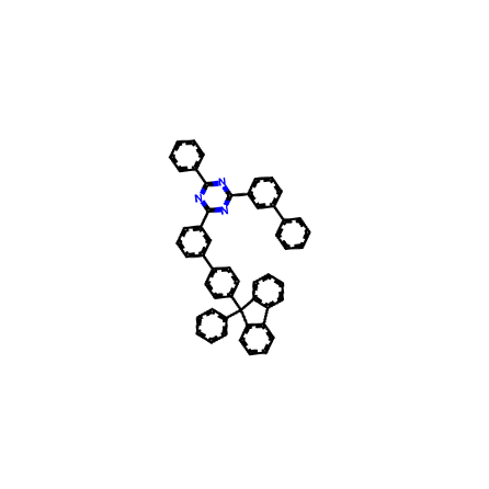 c1ccc(-c2cccc(-c3nc(-c4ccccc4)nc(-c4cccc(-c5ccc(C6(c7ccccc7)c7ccccc7-c7ccccc76)cc5)c4)n3)c2)cc1